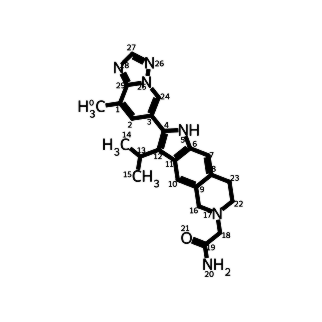 Cc1cc(-c2[nH]c3cc4c(cc3c2C(C)C)CN(CC(N)=O)CC4)cn2ncnc12